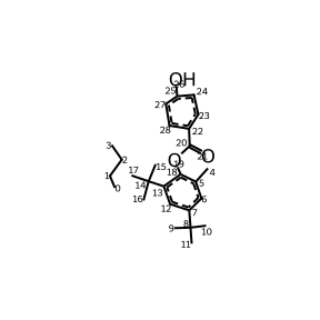 CCCC.Cc1cc(C(C)(C)C)cc(C(C)(C)C)c1OC(=O)c1ccc(O)cc1